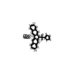 CC(C)(C1=CC=CC1)C1c2cc3ccccc3cc2-c2cc3ccccc3cc21.[Cl-].[Cl-].[Zr+2]